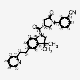 CC1(C)CN(C(=O)[C@H]2CC(=O)N(c3cccc(C#N)c3)C2)c2ccc(CCc3ccccn3)cc21